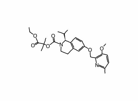 CCOC(=O)C(C)(C)OC(=O)N1CCc2cc(OCc3nc(C)ccc3OC)ccc2[C@@H]1C(C)C